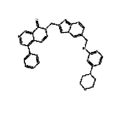 O=c1c2cncc(-c3ccccc3)c2ccn1Cc1cn2cc(CNc3cc(N4CCOCC4)ccn3)ccc2n1